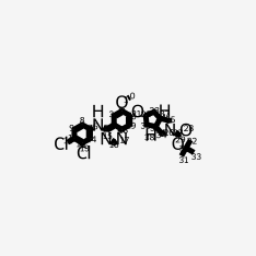 COc1cc2c(Nc3ccc(Cl)c(Cl)c3)ncnc2cc1OC1C[C@@H]2CN(C(=O)OC(C)(C)C)C[C@@H]2C1